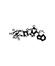 CN(c1nc(Cl)nc2c1nnn2[C@@H]1O[C@H](COP(=O)(O)C(F)(F)P(=O)(O)O)[C@@H](O)[C@H]1O)[C@@H]1CCc2ccccc21